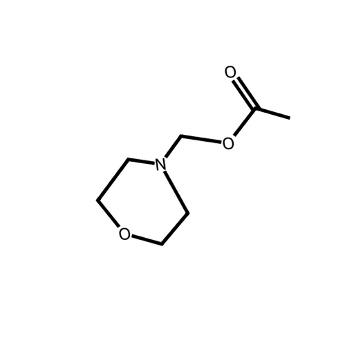 CC(=O)OCN1CCOCC1